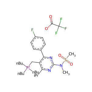 CCCC[P+](CCCC)(CCCC)Cc1c(-c2ccc(F)cc2)nc(N(C)S(C)(=O)=O)nc1C(C)C.O=C([O-])C(F)(F)F